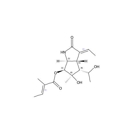 C/C=C(\C)C(=O)O[C@H]1[C@H]2NC(=O)/C(=C/C)[C@@H]2[C@H](C(C)O)[C@@]1(C)O